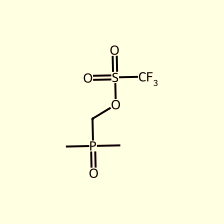 CP(C)(=O)COS(=O)(=O)C(F)(F)F